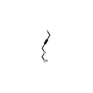 N#CCOCC#CCI